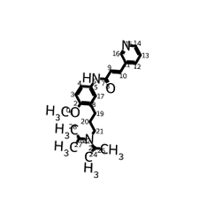 COc1ccc(NC(=O)/C=C/c2cccnc2)cc1CCCN(C(C)C)C(C)C